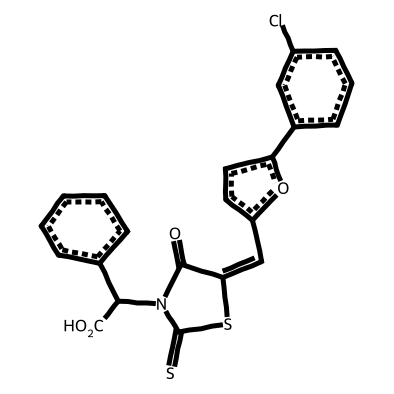 O=C(O)C(c1ccccc1)N1C(=O)/C(=C\c2ccc(-c3cccc(Cl)c3)o2)SC1=S